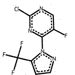 Fc1cnc(Cl)nc1-n1nccc1C(F)(F)F